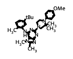 COc1ccc(N2CCN(c3nc(Nc4cc(C(C)(C)C)ccc4C)c4c(n3)nc(C)n4C)CC2(C)C)cc1